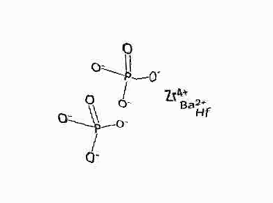 O=P([O-])([O-])[O-].O=P([O-])([O-])[O-].[Ba+2].[Hf].[Zr+4]